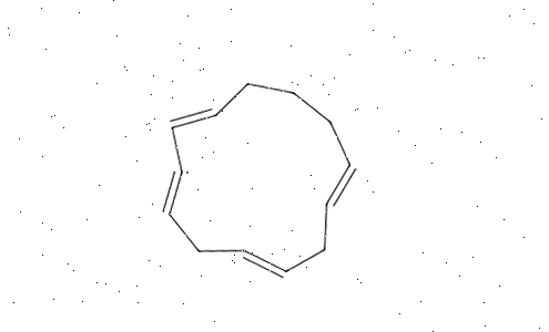 [C]1=C/C/C=C/C/C=C/CCC/C=C/1